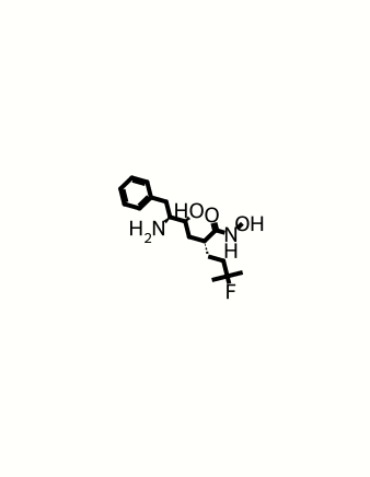 CC(C)(F)CC[C@H](C[C@H](O)[C@@H](N)Cc1ccccc1)C(=O)NO